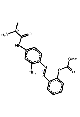 COC(=O)Oc1ccccc1/N=N/c1ccc(NC(=O)[C@H](C)N)nc1N